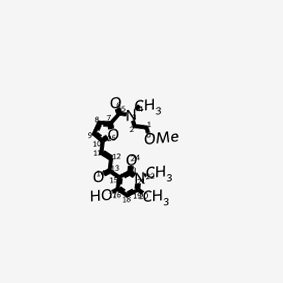 COCCN(C)C(=O)c1ccc(C=CC(=O)c2c(O)cc(C)n(C)c2=O)o1